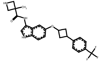 CC1(C(=O)Nc2c[nH]c3ccc(OC4CC(c5ccc(C(F)(F)F)cc5)C4)cc23)CNC1